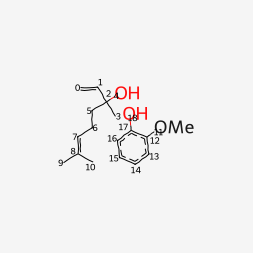 C=CC(C)(O)CCC=C(C)C.COc1ccccc1O